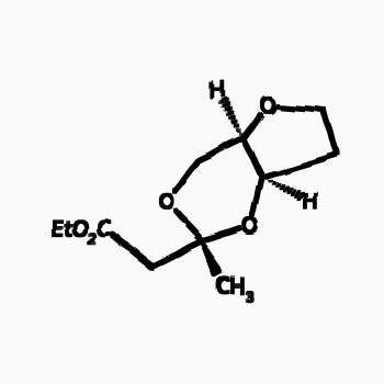 CCOC(=O)C[C@]1(C)OC[C@H]2OCC[C@H]2O1